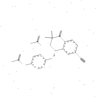 CC(=O)Oc1ccc(O[C@@H]2c3cc(C#N)ccc3C(=O)C(C)(C)[C@H]2OC(C)=O)nn1